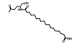 CC(=O)CC[C@@H](CO)NC(=O)CCCCCCCCCCCCCCCCC(=O)O